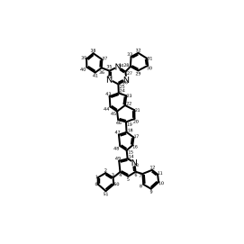 c1ccc(-c2cc(-c3ccccc3)nc(-c3ccc(-c4ccc5cc(-c6nc(-c7ccccc7)nc(-c7ccccc7)n6)ccc5c4)cc3)c2)cc1